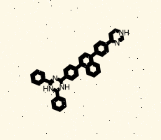 C1=NC(c2ccc(-c3ccc(-c4ccc(C5N=C(c6ccccc6)NC(c6ccccc6)N5)cc4)c4ccccc34)cc2)=CCN1